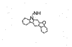 N=Cn1c2ccccc2c2cc3c(cc21)oc1ccccc13